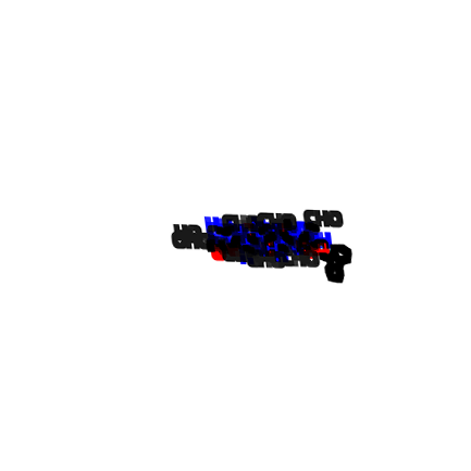 C=CCN(C(=O)[C@H](NC(=O)OCC1c2ccccc2-c2ccccc21)N[C@@H](C)C=O)[C@@H](N[C@@H](C)C=O)C(=O)N[C@@H](N[C@@H](C)C=O)C(=O)N[C@@H](N[C@@H](C)C=O)C(=O)N[C@@H](N[C@@H](C=O)CCC(=O)O)C(=O)N[C@@H](N[C@@H](C)C=O)C(=O)OC